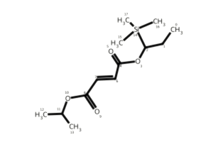 CCC(OC(=O)C=CC(=O)OC(C)C)[Si](C)(C)C